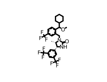 COC(c1ccc(C(F)(F)F)cc1CN1C(=O)N[C@H](c2cc(C(F)(F)F)cc(C(F)(F)F)c2)[C@@H]1C)C1CCCCC1